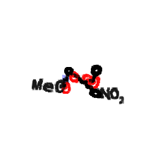 COC(=O)/C=C/c1ccccc1OCCC(C=Cc1cccc([N+](=O)[O-])c1)OC(=O)c1ccccc1